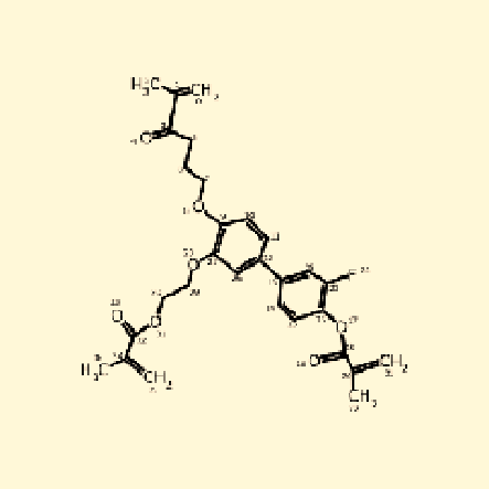 C=C(C)C(=O)CCCOc1ccc(-c2ccc(OC(=O)C(=C)C)c(F)c2)cc1OCCOC(=O)C(=C)C